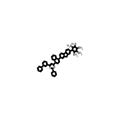 Bc1c(B)c(B)c(-c2ccc3c(c2)Cc2cc(-c4ccc(-c5cc(-c6cccc(-c7ccccc7)c6)nc(-c6ccccc6)n5)c5ccccc45)ccc2-3)c(B)c1B